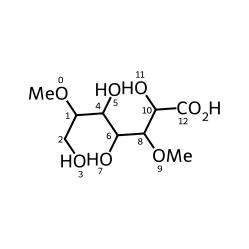 COC(CO)C(O)C(O)C(OC)C(O)C(=O)O